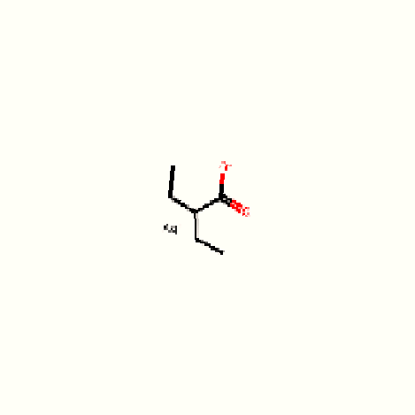 CCC(CC)C(=O)[O-].[Ag+]